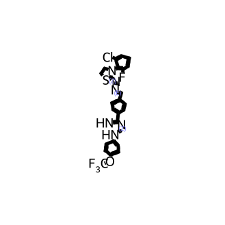 N=C(/N=C\Nc1ccc(OC(F)(F)F)cc1)c1ccc(/C=N/N=C2\SCCN2c2c(F)cccc2Cl)cc1